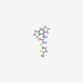 O=C(NSc1ccc(Br)s1)Nc1c2c(cc3c1CCC3)CCC2